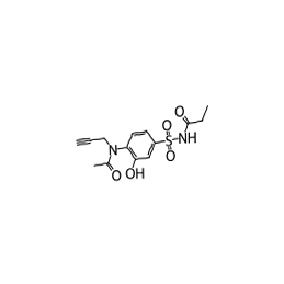 C#CCN(C(C)=O)c1ccc(S(=O)(=O)NC(=O)CC)cc1O